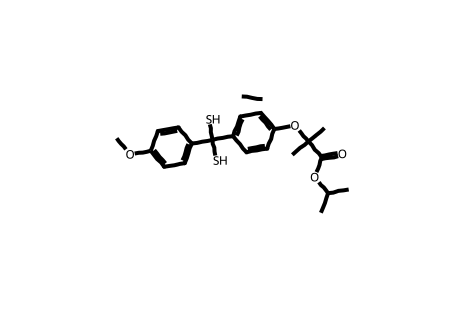 CC.COc1ccc(C(S)(S)c2ccc(OC(C)(C)C(=O)OC(C)C)cc2)cc1